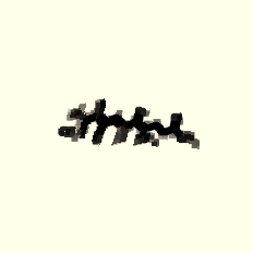 CC(C)[C@H](NC(=O)CNC(=O)[C@@H](N)CCC(N)=O)C(=O)O